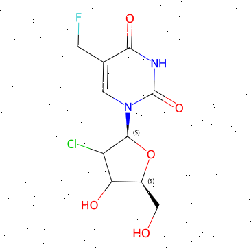 O=c1[nH]c(=O)n([C@H]2O[C@@H](CO)C(O)C2Cl)cc1CF